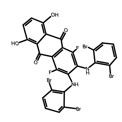 O=C1c2c(O)ccc(O)c2C(=O)c2c(F)c(Nc3c(Br)cccc3Br)c(Nc3c(Br)cccc3Br)c(F)c21